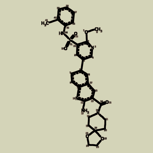 COc1ncc(-c2ccc3nc(N)c(C(=O)N4CCC5(CC4)OCCO5)cc3c2)cc1S(=O)(=O)Nc1ccccc1C